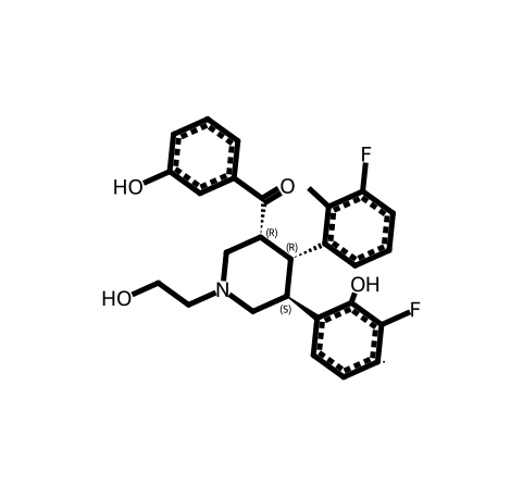 Cc1c(F)cccc1[C@H]1[C@@H](C(=O)c2cccc(O)c2)CN(CCO)C[C@@H]1c1cc[c]c(F)c1O